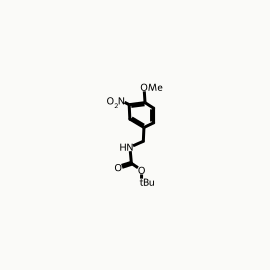 COc1ccc(CNC(=O)OC(C)(C)C)cc1[N+](=O)[O-]